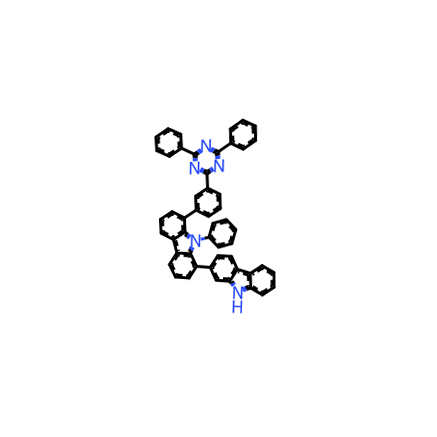 c1ccc(-c2nc(-c3ccccc3)nc(-c3cccc(-c4cccc5c6cccc(-c7ccc8c(c7)[nH]c7ccccc78)c6n(-c6ccccc6)c45)c3)n2)cc1